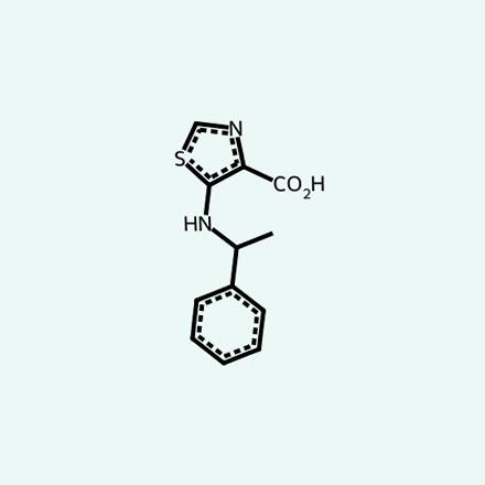 CC(Nc1scnc1C(=O)O)c1ccccc1